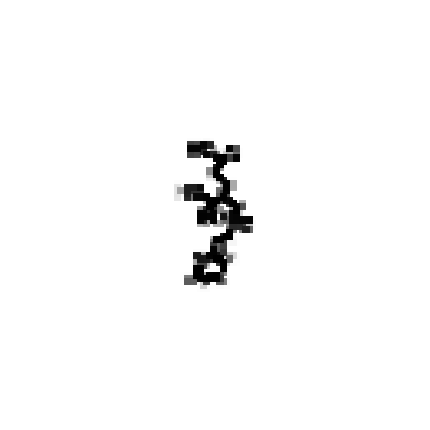 O=C(O)CCC(CP(=O)(O)CCc1ccccn1)C(=O)O